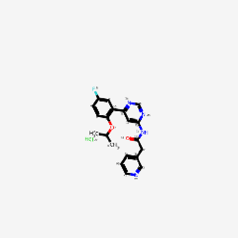 CC(C)Oc1ccc(F)cc1-c1cc(NC(=O)Cc2cccnc2)ncn1.Cl